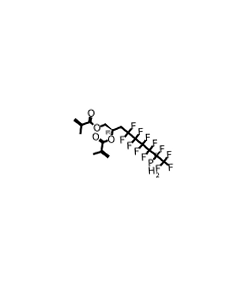 C=C(C)C(=O)OC[C@@H](CC(F)(F)C(F)(F)C(F)(F)C(F)(F)[C@@](F)(P)C(F)(F)F)OC(=O)C(=C)C